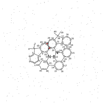 CC1(C)C2=CC=C=C=C2c2c(N3B4c5c(cccc5-c5ccccc5N4c4cccc5c4-c4ccccc4C5(C)C)C4=C3CCC=C4)cccc21